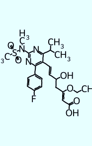 CCOC(=CC(=O)O)CC(O)C=Cc1c(-c2ccc(F)cc2)nc(N(C)S(C)(=O)=O)nc1C(C)C